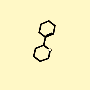 C1=C(C2CCCCO2)CCCC1